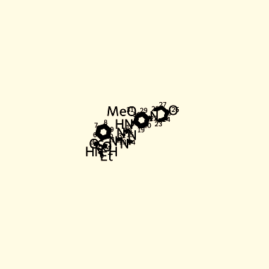 CCNS(=O)(=O)c1ccccc1Nc1ncnc(Nc2ccc(N3CCC(=O)CC3)cc2OC)n1